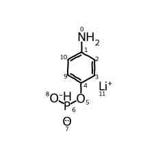 Nc1ccc(O[PH](=O)[O-])cc1.[Li+]